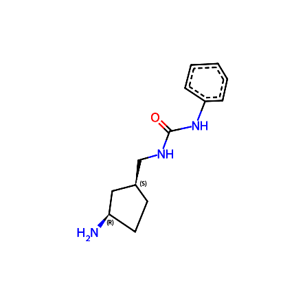 N[C@@H]1CC[C@H](CNC(=O)Nc2ccccc2)C1